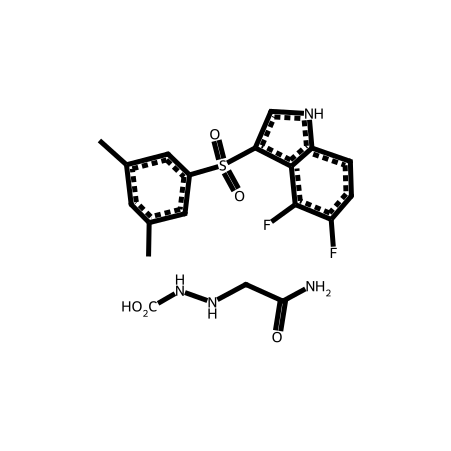 Cc1cc(C)cc(S(=O)(=O)c2c[nH]c3ccc(F)c(F)c23)c1.NC(=O)CNNC(=O)O